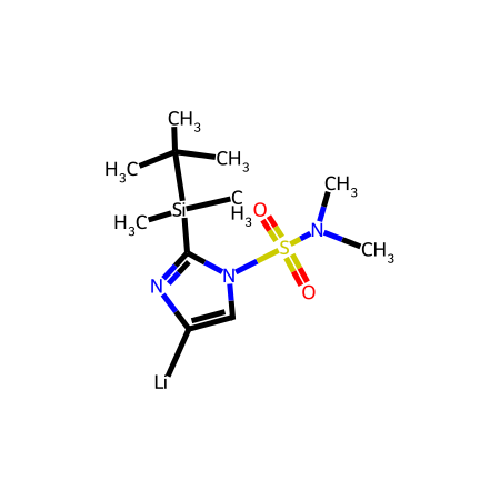 [Li][c]1cn(S(=O)(=O)N(C)C)c([Si](C)(C)C(C)(C)C)n1